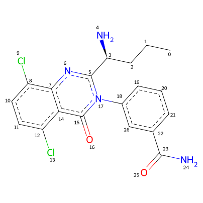 CCC[C@H](N)c1nc2c(Cl)ccc(Cl)c2c(=O)n1-c1cccc(C(N)=O)c1